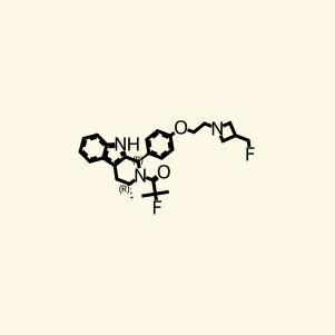 C[C@@H]1Cc2c([nH]c3ccccc23)[C@@H](c2ccc(OCCN3CC(CF)C3)cc2)N1C(=O)C(C)(C)F